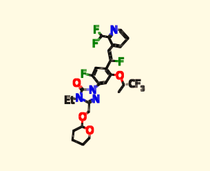 CCn1c(COC2CCCCO2)nn(-c2cc(O[C@@H](C)C(F)(F)F)c(/C(F)=C/c3cccnc3C(F)F)cc2F)c1=O